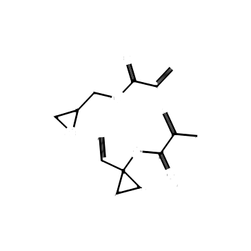 C=CC(=O)OCC1CO1.C=CC1(OC(=O)C(=C)C)CC1